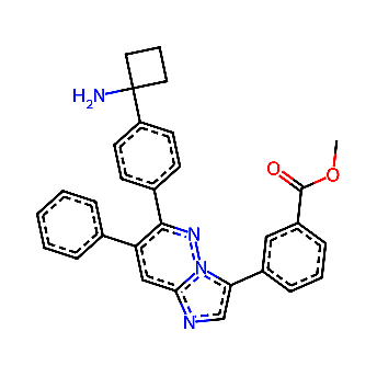 COC(=O)c1cccc(-c2cnc3cc(-c4ccccc4)c(-c4ccc(C5(N)CCC5)cc4)nn23)c1